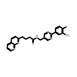 Cc1cc(-c2ncc(CNC(=O)CCCc3ccc4cccnc4n3)cn2)ccc1F